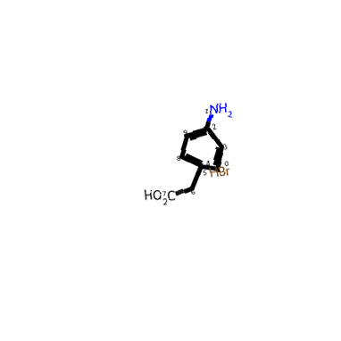 Br.Nc1ccc(CC(=O)O)cc1